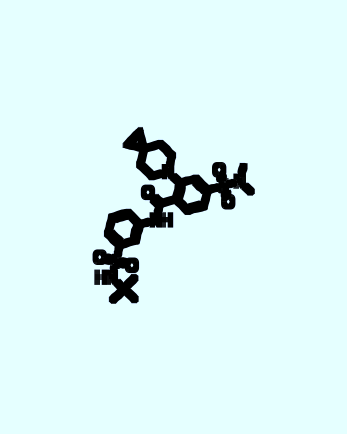 CN(C)S(=O)(=O)c1ccc(C(=O)Nc2cccc(S(=O)(=O)NC(C)(C)C)c2)c(N2CCC3(CC2)CC3)c1